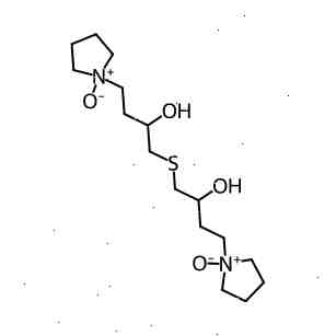 [O-][N+]1(CCC(O)CSCC(O)CC[N+]2([O-])CCCC2)CCCC1